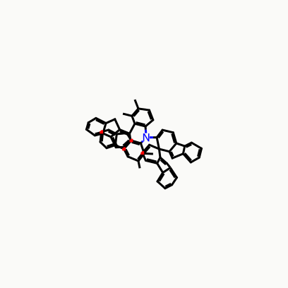 Cc1ccc(N(C2=CC=C3C(=Cc4ccccc43)C23C=CC=C2C3=Cc3ccccc32)c2c(C)c(C)cc3c2Cc2ccccc2-3)c(-c2cccc3c2Cc2ccccc2-3)c1C